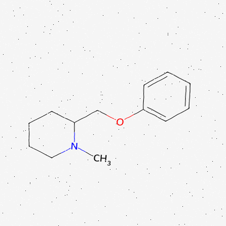 CN1CCCCC1COc1ccccc1